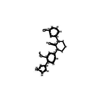 COc1cc(N2CCCN(c3cccc(Cl)c3)C2=O)ccc1-c1cn[nH]c1